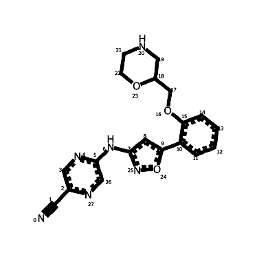 N#Cc1cnc(Nc2cc(-c3ccccc3OCC3CNCCO3)on2)cn1